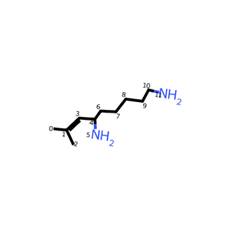 CC(C)=CC(N)CCCCCN